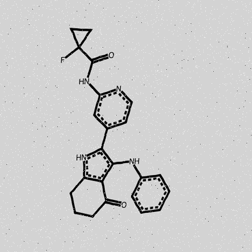 O=C1CCCc2[nH]c(-c3ccnc(NC(=O)C4(F)CC4)c3)c(Nc3ccccc3)c21